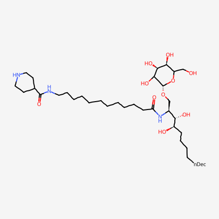 CCCCCCCCCCCCCC[C@@H](O)[C@@H](O)[C@H](CO[C@H]1OC(CO)[C@H](O)[C@H](O)C1O)NC(=O)CCCCCCCCCCCNC(=O)C1CCNCC1